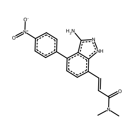 CN(C)C(=O)C=Cc1ccc(-c2ccc([N+](=O)[O-])cc2)c2c(N)n[nH]c12